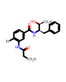 CCc1ccc(C(=O)N[C@H](Cc2ccccc2)[C@@H](O)C(=O)O)cc1NC(=O)CC(=O)O